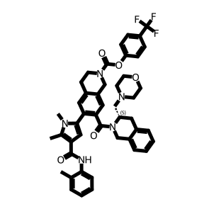 Cc1ccccc1NC(=O)c1cc(-c2cc3c(cc2C(=O)N2Cc4ccccc4C[C@H]2CN2CCOCC2)CN(C(=O)Oc2ccc(C(F)(F)F)cc2)CC3)n(C)c1C